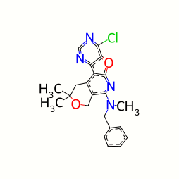 CN(Cc1ccccc1)c1nc2oc3c(Cl)ncnc3c2c2c1COC(C)(C)C2